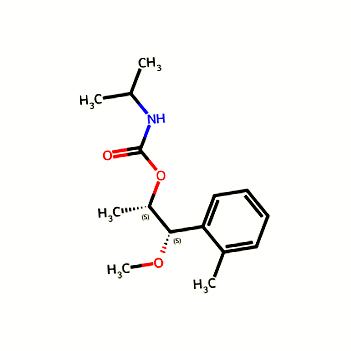 CO[C@@H](c1ccccc1C)[C@H](C)OC(=O)NC(C)C